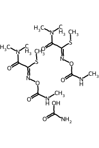 CNC(=O)ON=C(SC)C(=O)N(C)C.CNC(=O)ON=C(SC)C(=O)N(C)C.NC(=O)O